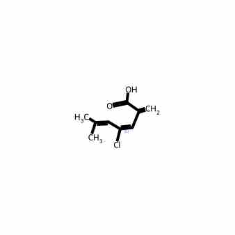 C=C(/C=C(/Cl)C=C(C)C)C(=O)O